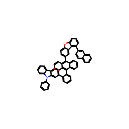 c1ccc(-n2c3ccccc3c3ccc(-c4ccccc4-c4c5ccccc5c(-c5ccc6oc7cccc(-c8ccc9ccccc9c8)c7c6c5)c5ccccc45)cc32)cc1